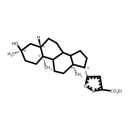 CCOC(=O)c1cc([C@H]2CCC3C4CC[C@H]5C[C@](C)(O)CC[C@]5(C)C4CC[C@@]32C)on1